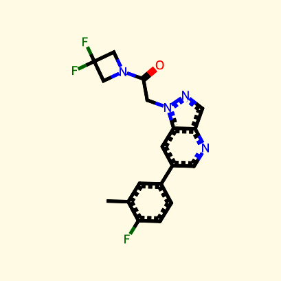 Cc1cc(-c2cnc3cnn(CC(=O)N4CC(F)(F)C4)c3c2)ccc1F